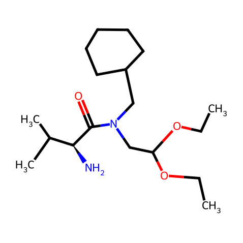 CCOC(CN(CC1CCCCC1)C(=O)[C@@H](N)C(C)C)OCC